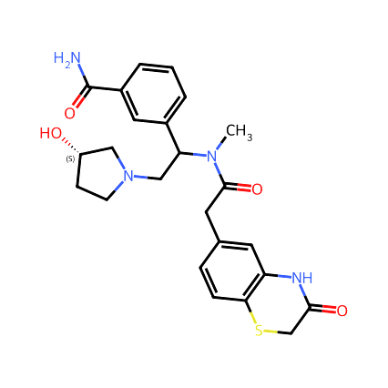 CN(C(=O)Cc1ccc2c(c1)NC(=O)CS2)C(CN1CC[C@H](O)C1)c1cccc(C(N)=O)c1